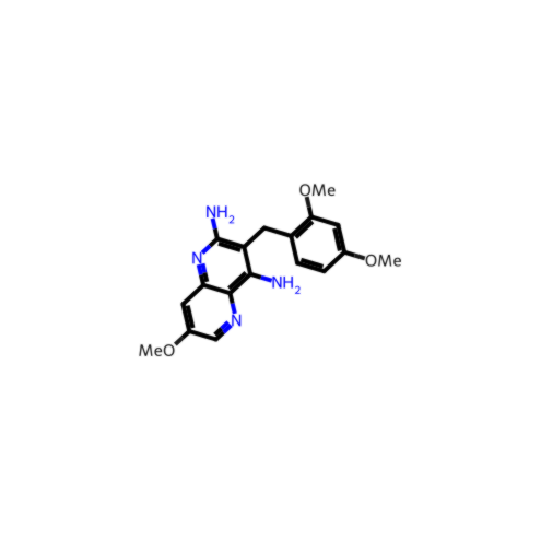 COc1ccc(Cc2c(N)nc3cc(OC)cnc3c2N)c(OC)c1